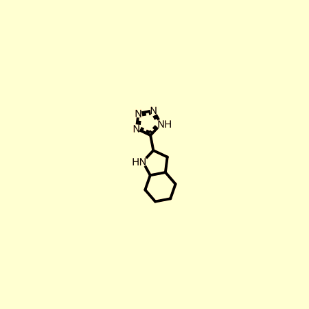 C1CCC2NC(c3nnn[nH]3)CC2C1